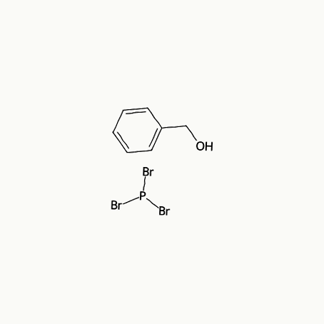 BrP(Br)Br.OCc1ccccc1